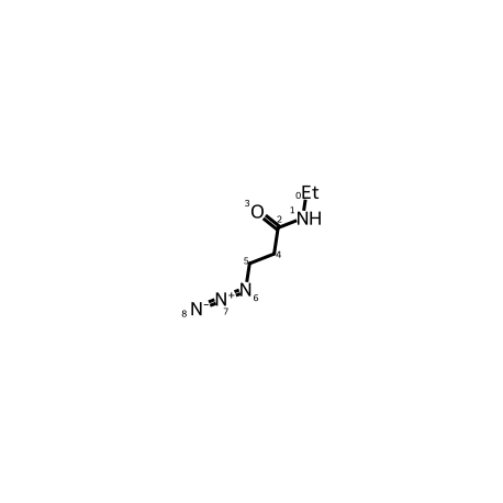 CCNC(=O)CCN=[N+]=[N-]